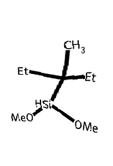 CCC(C)(CC)[SiH](OC)OC